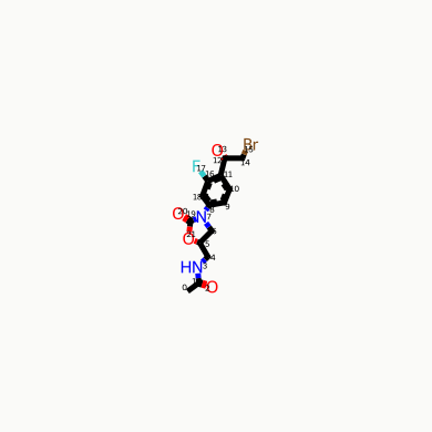 CC(=O)NCC1CN(c2ccc(C(=O)CBr)c(F)c2)C(=O)O1